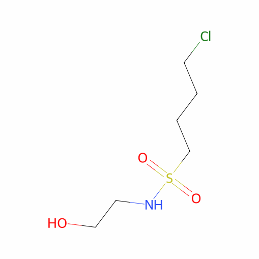 O=S(=O)(CCCCCl)NCCO